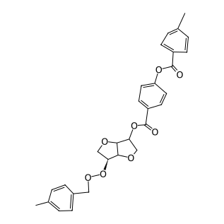 Cc1ccc(COO[C@H]2COC3C(OC(=O)c4ccc(OC(=O)c5ccc(C)cc5)cc4)COC32)cc1